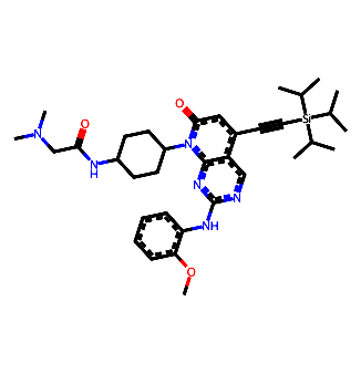 COc1ccccc1Nc1ncc2c(C#C[Si](C(C)C)(C(C)C)C(C)C)cc(=O)n(C3CCC(NC(=O)CN(C)C)CC3)c2n1